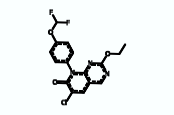 CCOc1ncc2cc(Cl)c(=O)n(-c3ccc(OC(F)F)cc3)c2n1